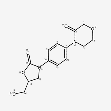 O=C1COCCN1c1ccc(N2CC(CO)OC2=O)cc1